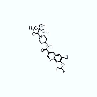 CC(C)(O)C(=O)N1CCC(NC(=O)c2cnc3cc(OC(F)F)c(Cl)cc3c2)CC1